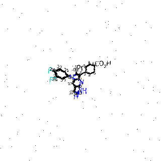 CC(C)c1c(C2CCC(C(=O)O)CC2)c2nc3[nH]ncc3cc2n1-c1ccc(F)c(F)c1